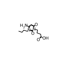 CCCCn1c(N)cc(=O)n(CCCC(=O)O)c1=O